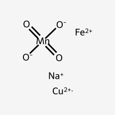 [Cu+2].[Fe+2].[Na+].[O]=[Mn](=[O])([O-])[O-]